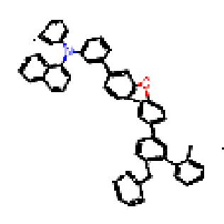 Cc1ccccc1-c1cc(-c2ccc3oc4cc(-c5cccc(N(c6ccccc6)c6cccc7ccccc67)c5)ccc4c3c2)ccc1Cc1ccccc1